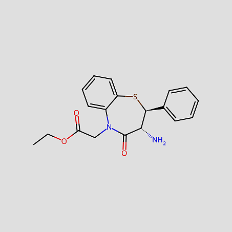 CCOC(=O)CN1C(=O)[C@@H](N)[C@H](c2ccccc2)Sc2ccccc21